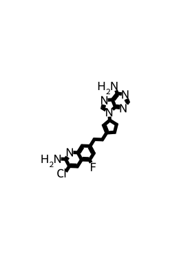 Nc1nc2cc(CCC3=CC(n4cnc5c(N)ncnc54)CC3)cc(F)c2cc1Cl